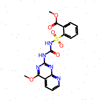 COC(=O)c1ccccc1S(=O)(=O)NC(=O)Nc1nc(OC)c2cccnc2n1